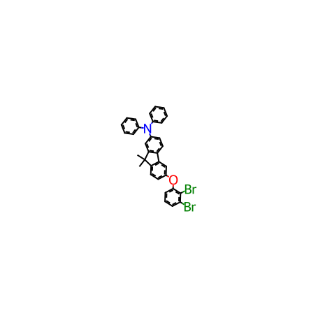 CC1(C)c2ccc(Oc3cccc(Br)c3Br)cc2-c2ccc(N(c3ccccc3)c3ccccc3)cc21